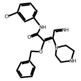 N=C/C(=C(/OCc1ccccc1)C(=O)Nc1cccc(Cl)c1)N1CCNCC1